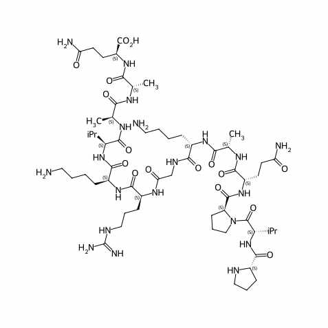 CC(C)[C@H](NC(=O)[C@H](CCCCN)NC(=O)[C@H](CCCNC(=N)N)NC(=O)CNC(=O)[C@H](CCCCN)NC(=O)[C@H](C)NC(=O)[C@H](CCC(N)=O)NC(=O)[C@@H]1CCCN1C(=O)[C@@H](NC(=O)[C@@H]1CCCN1)C(C)C)C(=O)N[C@@H](C)C(=O)N[C@@H](C)C(=O)N[C@@H](CCC(N)=O)C(=O)O